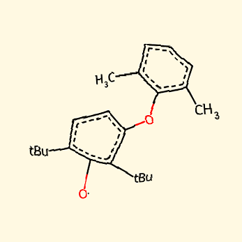 Cc1cccc(C)c1Oc1ccc(C(C)(C)C)c([O])c1C(C)(C)C